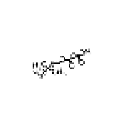 C[N+](C)(C)CCOC(=O)OC(=O)O